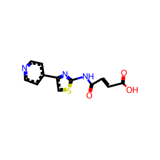 O=C(O)/C=C/C(=O)Nc1nc(-c2ccncc2)cs1